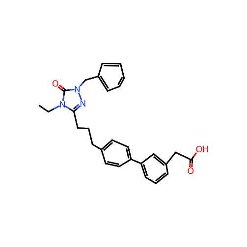 CCn1c(CCCc2ccc(-c3cccc(CC(=O)O)c3)cc2)nn(Cc2ccccc2)c1=O